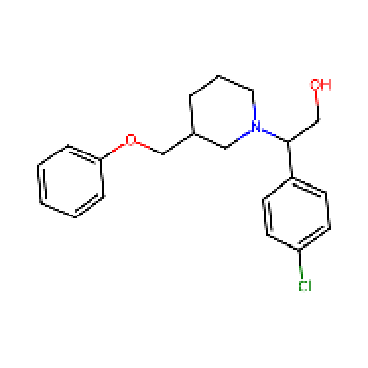 OCC(c1ccc(Cl)cc1)N1CCCC(COc2ccccc2)C1